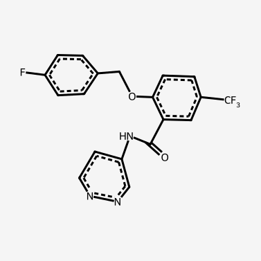 O=C(Nc1ccnnc1)c1cc(C(F)(F)F)ccc1OCc1ccc(F)cc1